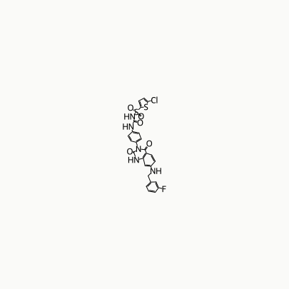 O=C(Nc1ccc(-n2c(=O)[nH]c3cc(NCc4cccc(F)c4)ccc3c2=O)cc1)NS(=O)(=O)c1ccc(Cl)s1